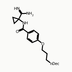 CCCCCCCCCCCCCOc1ccc(C(=O)NC2(C(=N)N)CC2)cc1